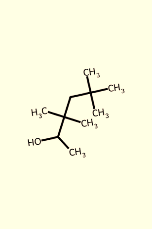 CC(O)C(C)(C)CC(C)(C)C